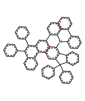 c1ccc(-c2ccccc2N(c2ccccc2-c2ccc3c(c2)c(-c2ccccc2)c(-c2ccccc2)c2ccccc23)c2cccc3c2-c2ccccc2C3(c2ccccc2)c2ccccc2)cc1